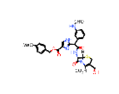 COc1ccc(COC(=O)c2c[nH]c(C(C(=O)N[C@@H]3C(=O)N4C(C(=O)O)=C(CO)CS[C@@H]34)c3cccc(NC=O)c3)n2)cc1